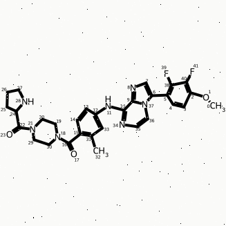 COc1ccc(-c2cnc3c(Nc4ccc(C(=O)N5CCN(C(=O)C6CCCN6)CC5)c(C)c4)nccn23)c(F)c1F